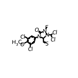 COc1c(Cl)cc(N2C(=O)N(F)N(C(Cl)Cl)C2C=S)cc1Cl